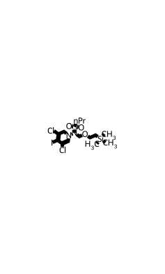 CCCS(=O)(=O)N(COCC[Si](C)(C)C)N1C=C(Cl)C(I)=C(Cl)C1